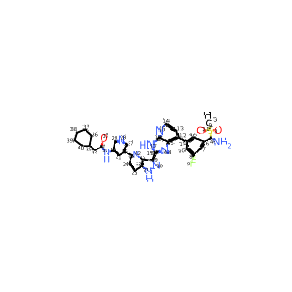 CS(=O)(=O)C(N)c1cc(F)cc(-c2ccnc3[nH]c(-c4n[nH]c5ccc(-c6cncc(NC(=O)CC7CCCCC7)c6)nc45)nc23)c1